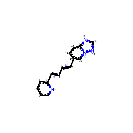 C(/C=C/c1ccccn1)=C\c1ccc2ncnn2c1